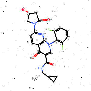 O=C(N[C@H](C1CC1)C(F)(F)F)c1cn(-c2c(F)cccc2F)c2nc(N3C[C@@H](O)CC3=O)ccc2c1=O